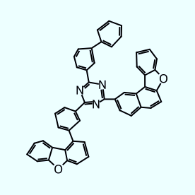 c1ccc(-c2cccc(-c3nc(-c4cccc(-c5cccc6oc7ccccc7c56)c4)nc(-c4ccc5ccc6oc7ccccc7c6c5c4)n3)c2)cc1